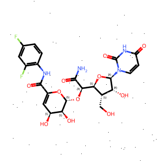 NC(=O)[C@H](O[C@H]1OC(C(=O)Nc2ccc(F)cc2F)=C[C@H](O)[C@@H]1O)[C@H]1O[C@@H](n2ccc(=O)[nH]c2=O)[C@H](O)[C@@H]1CO